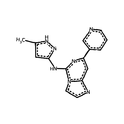 Cc1cc(Nc2nc(-c3cccnc3)cc3nccn23)n[nH]1